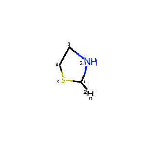 [2H]C1NCCS1